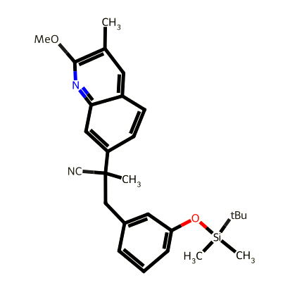 COc1nc2cc(C(C)(C#N)Cc3cccc(O[Si](C)(C)C(C)(C)C)c3)ccc2cc1C